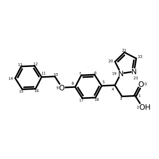 O=C(O)CC(c1ccc(OCc2ccccc2)cc1)n1cccn1